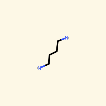 [N]CCCC[N]